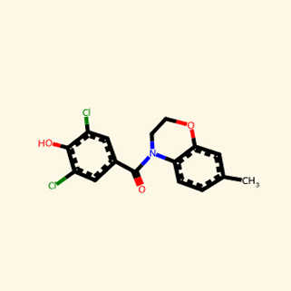 Cc1ccc2c(c1)OCCN2C(=O)c1cc(Cl)c(O)c(Cl)c1